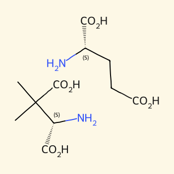 CC(C)(C(=O)O)[C@H](N)C(=O)O.N[C@@H](CCC(=O)O)C(=O)O